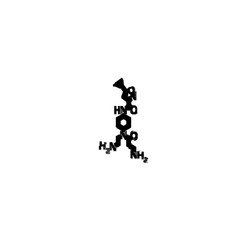 NCCC(=O)N(CCN)[C@H]1CC[C@H](NC(=O)c2cc(C3CC3)on2)CC1